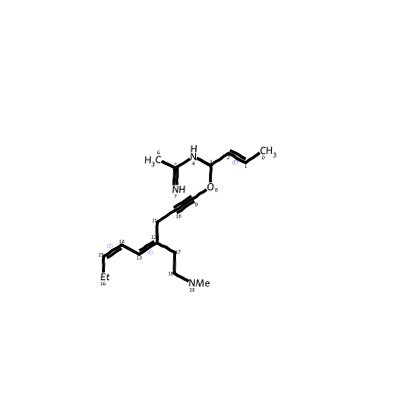 C/C=C/C(NC(C)=N)OC#CC/C(=C\C=C/CC)CCNC